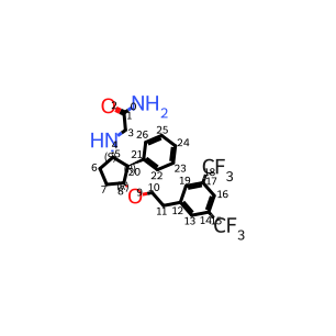 NC(=O)CN[C@H]1CC[C@@H](OCCc2cc(C(F)(F)F)cc(C(F)(F)F)c2)[C@@H]1c1ccccc1